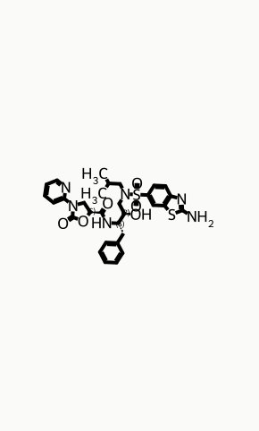 CC(C)CN(C[C@@H](O)[C@H](Cc1ccccc1)NC(=O)[C@@H]1CN(c2ccccn2)C(=O)O1)S(=O)(=O)c1ccc2nc(N)sc2c1